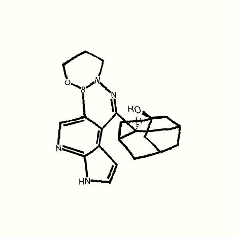 O[C@]12CC3CC(C1)[C@H](C1=NN4CCCOB4c4cnc5[nH]ccc5c41)C(C3)C2